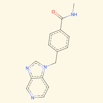 CNC(=O)c1ccc(Cn2cnc3cnccc32)cc1